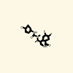 C[C@H](c1c[nH]c(=O)c2cc(F)c(F)cc12)N(C)C(=O)Nc1ccc(Cl)cc1